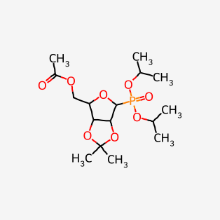 CC(=O)OCC1OC(P(=O)(OC(C)C)OC(C)C)C2OC(C)(C)OC12